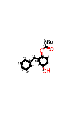 CCCCC(=O)Oc1ccc(O)cc1Cc1ccccc1